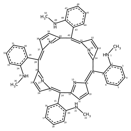 CNc1ccccc1C1=C2C=CC(=N2)C(c2ccccc2NC)=C2C=CC(=N2)C(c2ccccc2NC)=C2C=CC(=N2)C(c2ccccc2NC)=C2C=CC1=N2